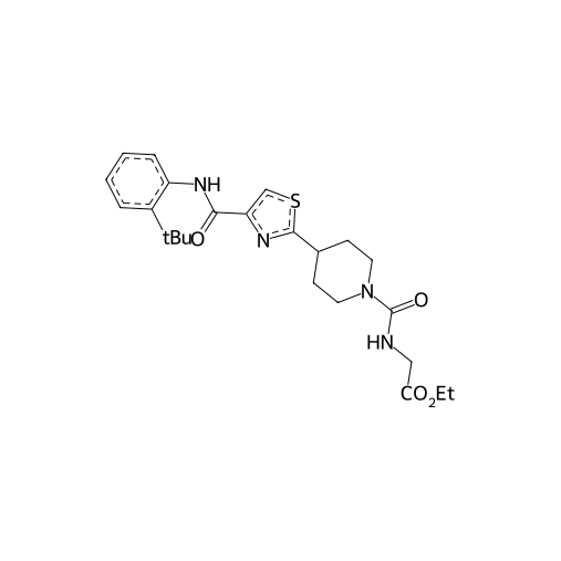 CCOC(=O)CNC(=O)N1CCC(c2nc(C(=O)Nc3ccccc3C(C)(C)C)cs2)CC1